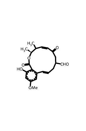 COc1cc(O)c2c(c1)/C=C/CC(C=O)CC(=O)/C=C\C(C)[C@H](C)OC2=O